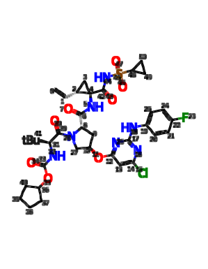 C=C[C@@H]1C[C@]1(NC(=O)[C@@H]1C[C@@H](Oc2cc(Cl)nc(Nc3ccc(F)cc3)n2)CN1C(=O)[C@@H](NC(=O)OC1CCCC1)C(C)(C)C)C(=O)NS(=O)(=O)C1CC1